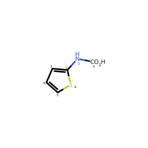 O=C(O)Nc1cccs1